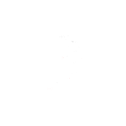 O=C(O)c1ccc2oc3ccc(OCCCO)cc3c(=O)c2c1